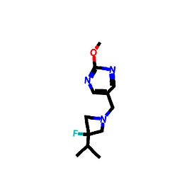 COc1ncc(CN2CC(F)(C(C)C)C2)cn1